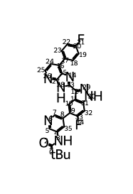 CC(C)(C)C(=O)Nc1cncc(-c2cc3c(-c4nc5c(-c6ccc(F)cc6)ccnc5[nH]4)n[nH]c3cc2F)c1